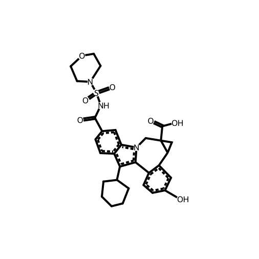 O=C(NS(=O)(=O)N1CCOCC1)c1ccc2c(C3CCCCC3)c3n(c2c1)CC1(C(=O)O)CC1c1cc(O)ccc1-3